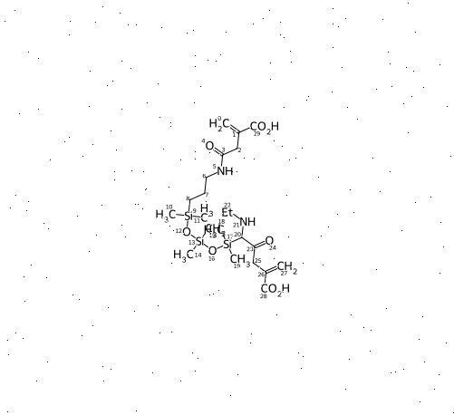 C=C(CC(=O)NCCC[Si](C)(C)O[Si](C)(C)O[Si](C)(C)C(NCC)C(=O)CC(=C)C(=O)O)C(=O)O